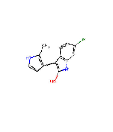 Cc1[nH]ccc1-c1c(O)[nH]c2cc(Br)ccc12